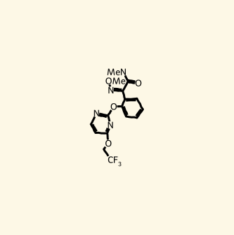 CNC(=O)C(=NOC)c1ccccc1Oc1nccc(OCC(F)(F)F)n1